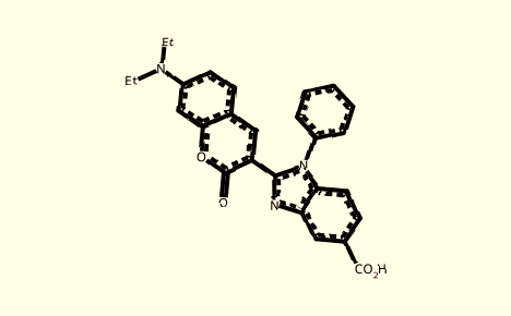 CCN(CC)c1ccc2cc(-c3nc4cc(C(=O)O)ccc4n3-c3ccccc3)c(=O)oc2c1